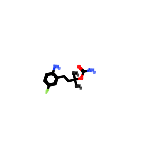 CC(C)(CCc1cc(F)ccc1N)OC(N)=O